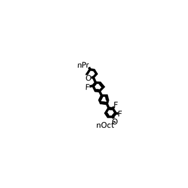 CCCCCCCCOc1ccc(-c2ccc(-c3ccc(C4CCC(CCC)CO4)c(F)c3)cc2)c(F)c1F